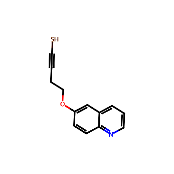 SC#CCCOc1ccc2ncccc2c1